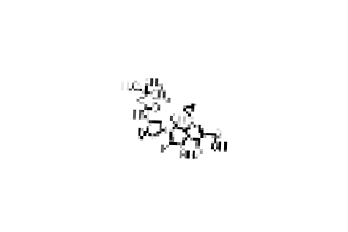 Cc1c(N2CC(NC(=O)OC(C)(C)C)C3(CC3)C2)c(F)c(N)c2c(=O)c(C(=O)O)cn(C3CC3)c12